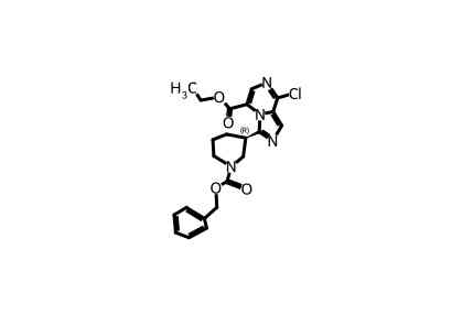 CCOC(=O)c1cnc(Cl)c2cnc([C@@H]3CCCN(C(=O)OCc4ccccc4)C3)n12